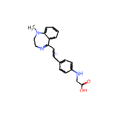 CN1CCN=C(/C=C/c2ccc(NCC(=O)O)cc2)c2ccccc21